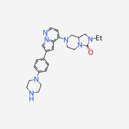 CCN1CC2CN(c3ccnn4cc(-c5ccc(N6CCNCC6)cc5)cc34)CCN2C1=O